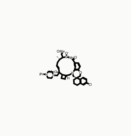 COCC1[C@@H](C)C/C=C/[C@](CN2CCN(C(C)C)CC2)(OC)C2CC[C@H]2CN2C[C@@]3(CCCc4cc(Cl)ccc43)COc3ccc(cc32)C(=O)N[S+]1[O-]